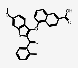 COc1ccc2c(Oc3cccc4cc(C(=O)O)ccc34)c(C(=O)c3ccccc3C)sc2c1